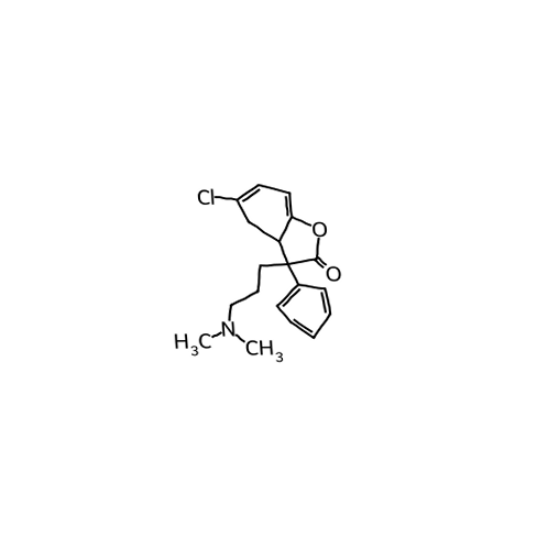 CN(C)CCCC1(c2ccccc2)C(=O)OC2=CC=C(Cl)CC21